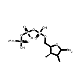 BC1OC(COP(=O)(O)OP(=O)(O)OP(=O)(O)OC)[C@H](C)C1C